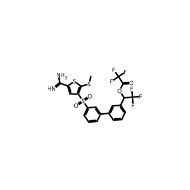 CSc1sc(C(=N)N)cc1S(=O)(=O)c1cccc(-c2cccc(C(OC(=O)C(F)(F)F)C(F)(F)F)c2)c1